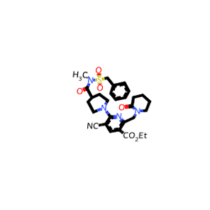 CCOC(=O)c1cc(C#N)c(N2CCC(C(=O)N(C)S(=O)(=O)Cc3ccccc3)CC2)nc1CN1CCCCC1=O